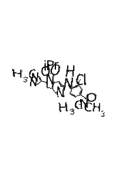 CC(C)OC(=O)n1c(-c2cnn(C)c2)cc2cnc(Nc3ccc(C(=O)N(C)C)cc3Cl)cc21